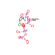 CCl.O=[PH]([O-])O[PH](=O)[O-].O=[PH]([O-])O[PH](=O)[O-].[W+4]